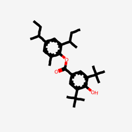 CCC(C)c1cc(C)c(OC(=O)c2cc(C(C)(C)C)c(O)c(C(C)(C)C)c2)c(C(C)CC)c1